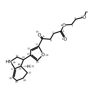 COCCOC(=O)CCC(=O)c1cc(C2CNC3=CCCC[C@@H]32)co1